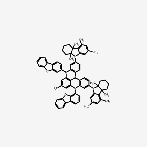 Cc1cc2c3c(c1)N(c1cccc4c1oc1ccccc14)c1cc(N4c5cc(C)cc(C)c5C5(C)CCCCC45C)ccc1B3c1ccc(N3c4cc(C)cc(C)c4C4(C)CCCCC34C)cc1N2c1ccc2c(c1)oc1ccccc12